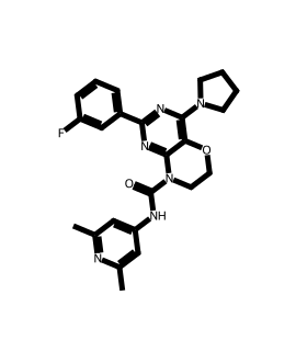 Cc1cc(NC(=O)N2CCOc3c(N4CCCC4)nc(-c4cccc(F)c4)nc32)cc(C)n1